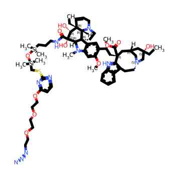 CC[C@]1(O)C[C@@H]2C[N@@](CCc3c([nH]c4ccccc34)[C@](CCc3cc4c(cc3OC)N(C)[C@H]3[C@@](O)(C(=O)NCCC[Si](C)(C)O[Si](C)(C)CSc5nccc(OCCOCCOCCN=[N+]=[N-])n5)[C@H](O)[C@]5(CC)C=CCN6CC[C@]43[C@@H]65)(C(=O)OC)C2)C1